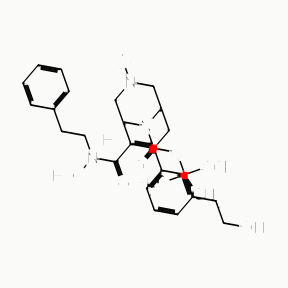 CC(=O)N1CC2CC(c3cccc(CCO)c3)=C(C(=O)N(C)CCc3ccccc3)[C@@H](C1)N2C(=O)OC(C)(C)C(Cl)(Cl)Cl